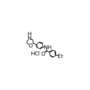 CCc1ccc(C(=O)Nc2ccc(C3CNCCO3)cc2)cc1.Cl